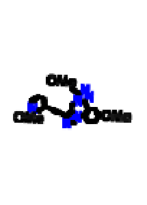 COCc1nnc2n1Cc1c(C#Cc3cccnc3OC)ncn1-c1ccc(OC)cc1-2